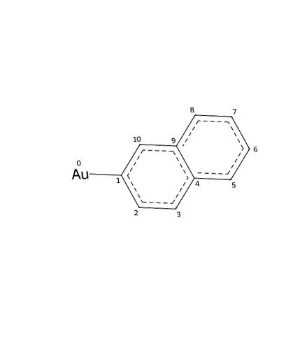 [Au][c]1ccc2ccccc2c1